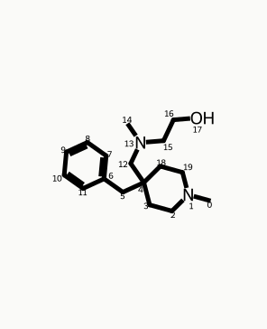 CN1CCC(Cc2ccccc2)(CN(C)CCO)CC1